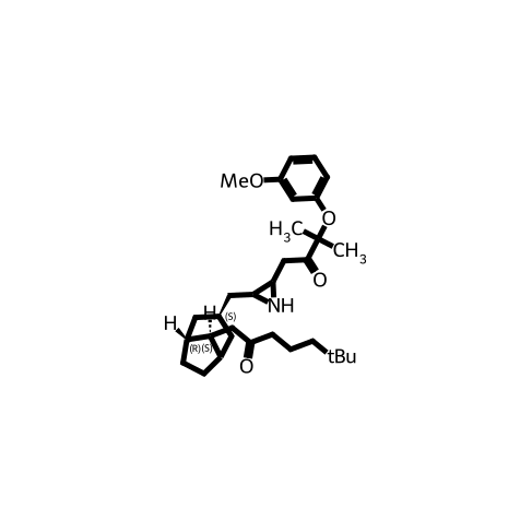 COc1cccc(OC(C)(C)C(=O)CC2NC2C[C@H]2CC3CC[C@H](C2)[C@H]3CC(=O)CCCC(C)(C)C)c1